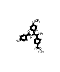 CCCC(c1ccc(C(=O)OC(C)(C)C)cc1)C(NC(=O)c1ccc(C#N)cc1)c1ccc(OC(F)(F)F)cc1